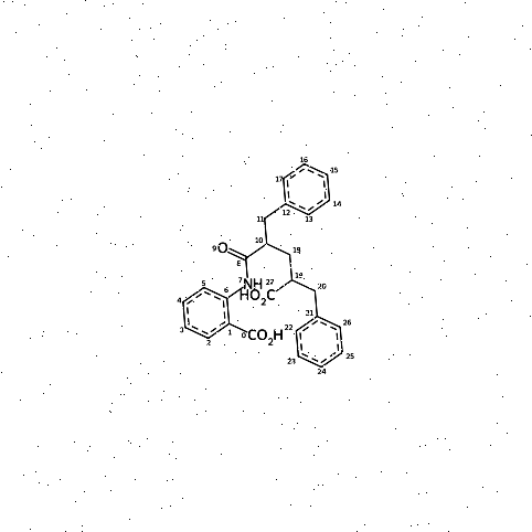 O=C(O)c1ccccc1NC(=O)C(Cc1ccccc1)CC(Cc1ccccc1)C(=O)O